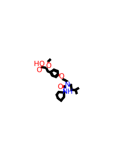 CCOC(Cc1ccc(OCCN(CCC(C)C)C(=O)NC2CCCCC2)cc1)C(=O)O